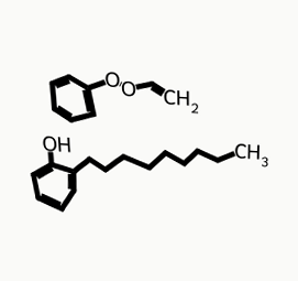 C=COOc1ccccc1.CCCCCCCCCc1ccccc1O